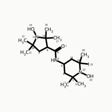 CC1(C)CC(NC(=O)C2CC(C)(C)N(O)C2(C)C)CC(C)(I)N1O